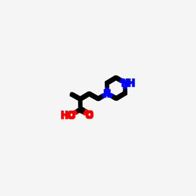 CC(CCN1CCNCC1)C(=O)O